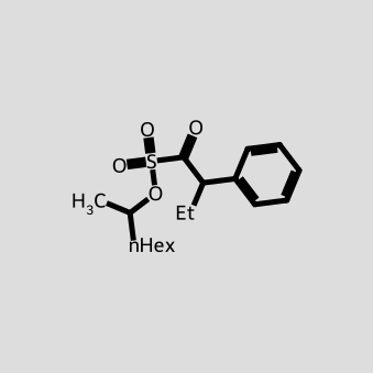 CCCCCCC(C)OS(=O)(=O)C(=O)C(CC)c1ccccc1